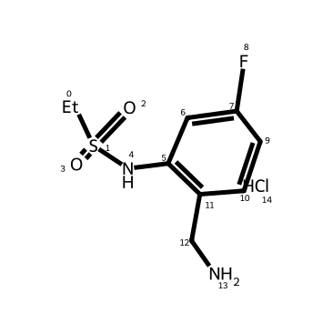 CCS(=O)(=O)Nc1cc(F)ccc1CN.Cl